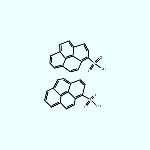 O=S(=O)(O)c1ccc2ccc3cccc4ccc1c2c34.O=S(=O)(O)c1ccc2ccc3cccc4ccc1c2c34